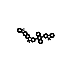 CC1(C)c2ccccc2-c2ccc(-c3c4ccccc4c(-c4ccc5c(c4)-c4cc6cc7sc8ccccc8c7cc6cc4C5(C)C)c4ccccc34)cc21